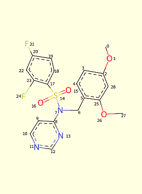 COc1ccc(CN(c2ccncn2)S(=O)(=O)c2ccc(F)cc2F)c(OC)c1